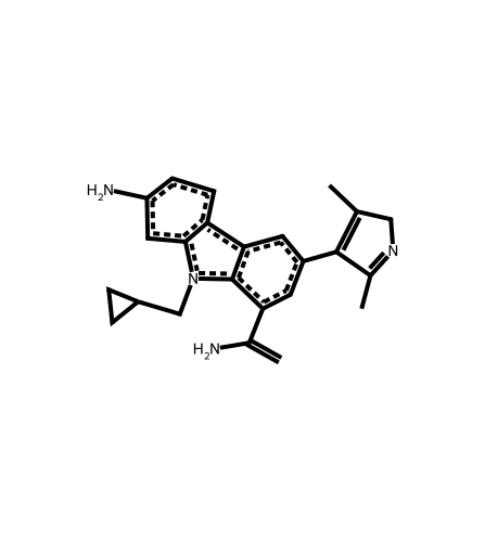 C=C(N)c1cc(C2=C(C)CN=C2C)cc2c3ccc(N)cc3n(CC3CC3)c12